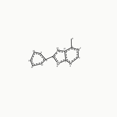 Cc1ncnc2oc(-c3ccccc3)nc12